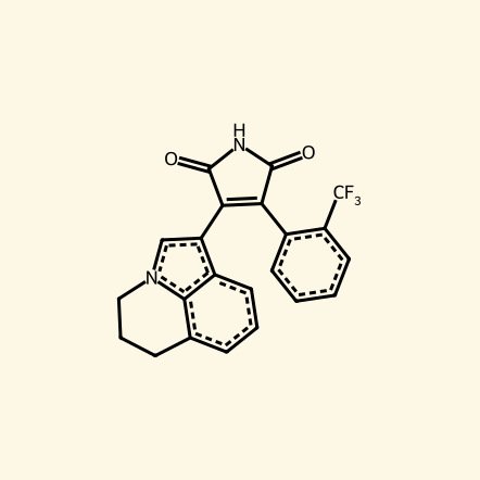 O=C1NC(=O)C(c2cn3c4c(cccc24)CCC3)=C1c1ccccc1C(F)(F)F